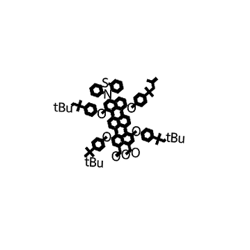 C=C(C)CC(C)(C)c1ccc(Oc2ccc3c(N4c5ccccc5Sc5ccccc54)cc(Oc4ccc(C(C)(C)CC(C)(C)C)cc4)c4c5ccc6c7c(Oc8ccc(C(C)(C)CC(C)(C)C)cc8)cc8c9c(cc(Oc%10ccc(C(C)(C)CC(C)(C)C)cc%10)c(c%10ccc(c2c34)c5c%106)c97)C(=O)OC8=O)cc1